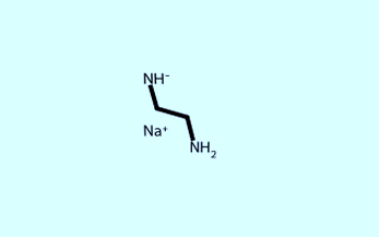 [NH-]CCN.[Na+]